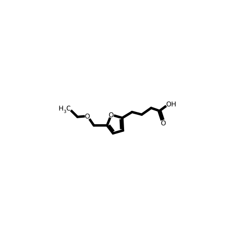 CCOCc1ccc(CCCC(=O)O)o1